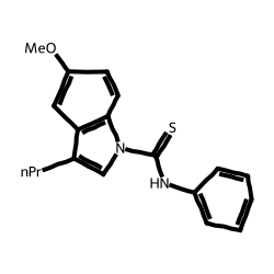 CCCc1cn(C(=S)Nc2ccccc2)c2ccc(OC)cc12